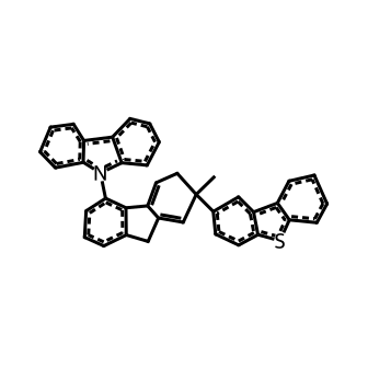 CC1(c2ccc3sc4ccccc4c3c2)C=C2Cc3cccc(-n4c5ccccc5c5ccccc54)c3C2=CC1